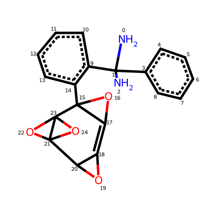 NC(N)(c1ccccc1)c1ccccc1C12OC1=C1OC1C13OC21O3